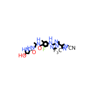 Cc1cc(Nc2nccn3c(-c4cn(CC#N)nc4C(F)(F)F)cnc23)cc(F)c1C(=O)NC(C)CNC(=O)[C@@H]1C[C@@H](O)CN1